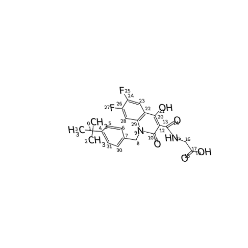 CC(C)(C)c1ccc(Cn2c(=O)c(C(=O)NCC(=O)O)c(O)c3cc(F)c(F)cc32)cc1